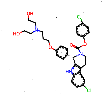 O=C(Oc1ccc(Cl)cc1)N1CCc2c([nH]c3ccc(Cl)cc23)[C@@H]1c1ccc(OCCCN(CCO)CCO)cc1